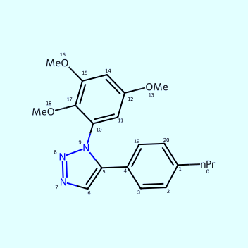 CCCc1ccc(-c2cnnn2-c2cc(OC)cc(OC)c2OC)cc1